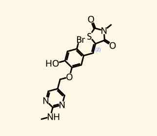 CNc1ncc(COc2cc(/C=C3\SC(=O)N(C)C3=O)c(Br)cc2O)cn1